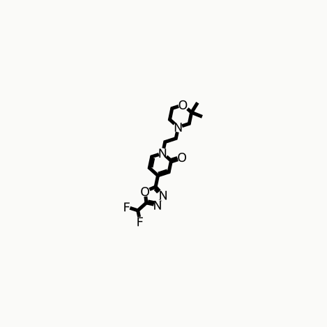 CC1(C)CN(CCn2ccc(-c3nnc(C(F)F)o3)cc2=O)CCO1